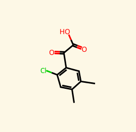 Cc1cc(Cl)c(C(=O)C(=O)O)cc1C